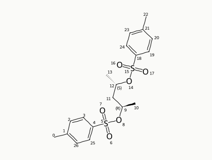 Cc1ccc(S(=O)(=O)O[C@H](C)C[C@H](C)OS(=O)(=O)c2ccc(C)cc2)cc1